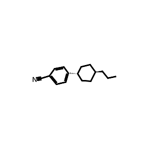 CCC[C@H]1CC[C@H](c2ccc(C#N)cc2)CC1